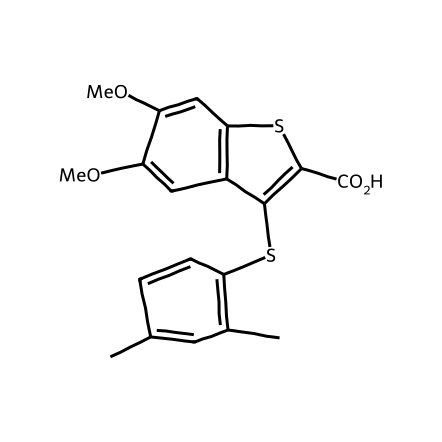 COc1cc2sc(C(=O)O)c(Sc3ccc(C)cc3C)c2cc1OC